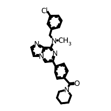 CN(Cc1cccc(Cl)c1)c1nc(-c2ccc(C(=O)N3CCCCC3)cc2)cn2ccnc12